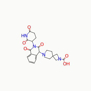 O=C1CCC(N2C(=O)c3ccccc3C(N3CCC4(CC3)CN(C(=O)O)C4)C2=O)C(=O)N1